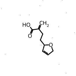 C=C(CCC1C=CCO1)C(=O)O